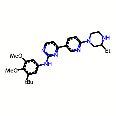 CCC1CN(c2ccc(-c3ccnc(Nc4cc(OC)c(OC)c(C(C)(C)C)c4)n3)cn2)CCN1